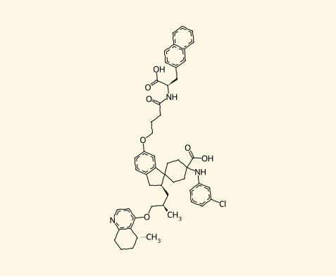 C[C@@H](COc1ccnc2c1[C@H](C)CCC2)C[C@H]1Cc2ccc(OCCCC(=O)N[C@H](Cc3ccc4ccccc4c3)C(=O)O)cc2C12CCC(Nc1cccc(Cl)c1)(C(=O)O)CC2